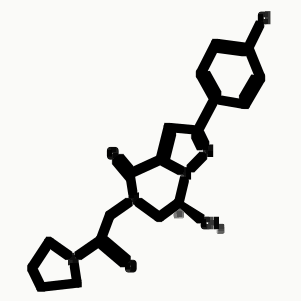 C[C@H]1CN(CC(=O)N2CCCC2)C(=O)c2cc(-c3ccc(Cl)cc3)nn21